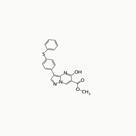 COC(=O)c1cn2ncc(-c3ccc(Sc4ccccc4)cc3)c2nc1O